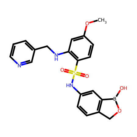 COc1ccc(S(=O)(=O)Nc2ccc3c(c2)B(O)OC3)c(NCc2cccnc2)c1